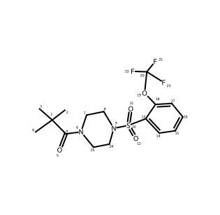 CC(C)(C)C(=O)N1CCN(S(=O)(=O)c2ccccc2OC(F)(F)F)CC1